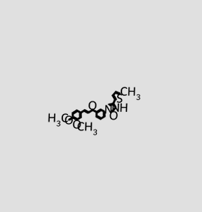 COc1ccc(/C=C/C(=O)c2cccc(-n3cc(-c4ccc(C)s4)[nH]c3=O)c2)cc1OC